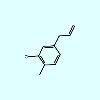 C=CCc1ccc(C)c(Cl)c1